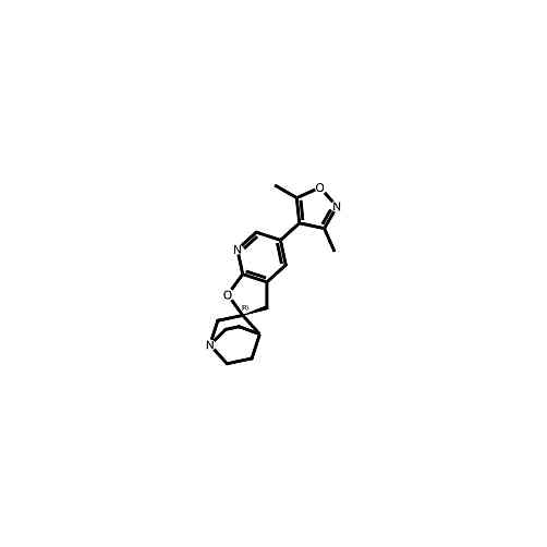 Cc1noc(C)c1-c1cnc2c(c1)C[C@@]1(CN3CCC1CC3)O2